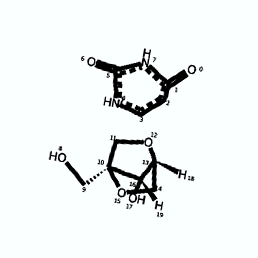 O=c1cc[nH]c(=O)[nH]1.OC[C@@]12CO[C@H](CO1)[C@@H]2O